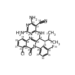 CC(C)CC(Nc1nc(N)nc(N)c1C#N)c1nc2cccc(Cl)c2c(=O)n1-c1cccc(F)c1